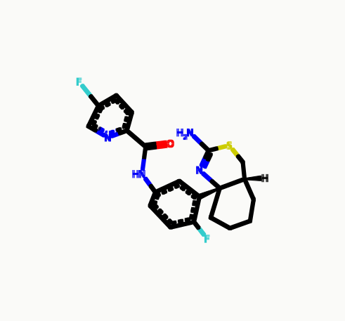 NC1=N[C@@]2(c3cc(NC(=O)c4ccc(F)cn4)ccc3F)CCCC[C@H]2CS1